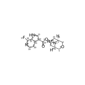 CN1[C@@H]2COC[C@H]1C[C@@H](OC(=O)c1c[nH]c3c(F)nccc13)C2